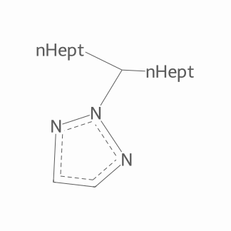 CCCCCCCC(CCCCCCC)n1nccn1